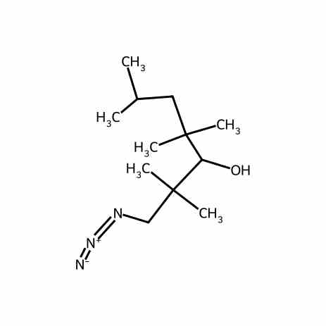 CC(C)CC(C)(C)C(O)C(C)(C)CN=[N+]=[N-]